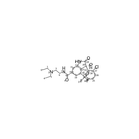 CCN(CC)CCNC(=O)c1cc2c(c(C(F)(F)F)c1)[C@](O)(c1ccccc1Cl)C(=O)N2